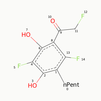 CCCCCc1c(O)c(F)c(O)c(C(=O)CF)c1F